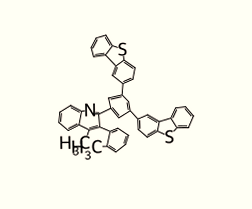 Cc1ccccc1-c1c(-c2cc(-c3ccc4sc5ccccc5c4c3)cc(-c3ccc4sc5ccccc5c4c3)c2)nc2ccccc2c1C